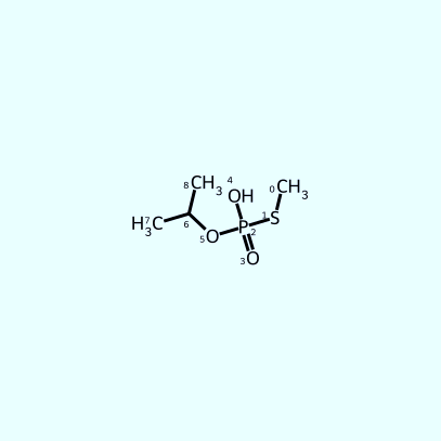 CSP(=O)(O)OC(C)C